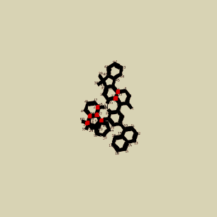 Cc1ccccc1-c1cc(-c2cccc3ccccc23)cc(-c2ccccc2C)c1N(c1ccc2c(c1)C(C)(C)c1ccccc1-2)c1cccc2c1-c1ccccc1C2(C)C